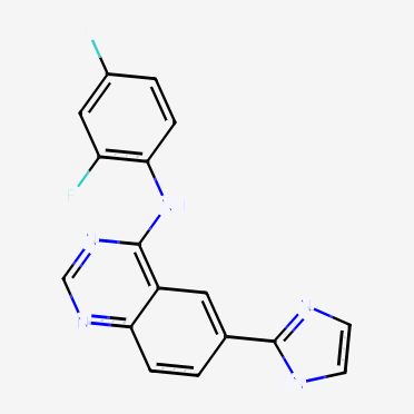 Fc1ccc(Nc2ncnc3ccc(-c4ncc[nH]4)cc23)c(F)c1